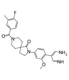 COc1cc(N2CCC3(CCN(C(=O)c4ccc(F)c(C)c4)CC3)C2=O)ccc1/C(C=N)=C/N